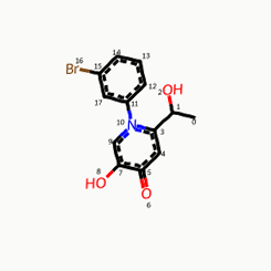 CC(O)c1cc(=O)c(O)cn1-c1cccc(Br)c1